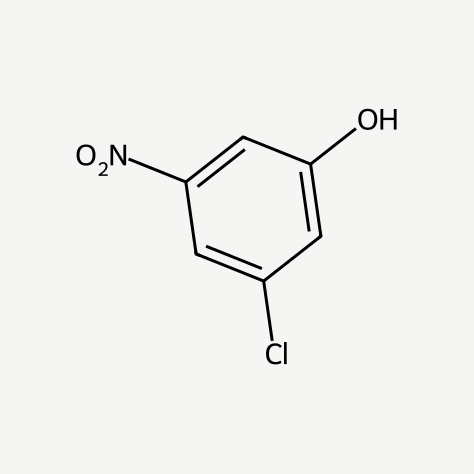 O=[N+]([O-])c1cc(O)cc(Cl)c1